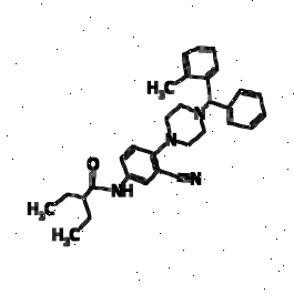 CCC(CC)C(=O)Nc1ccc(N2CCN(C(c3ccccc3)c3ccccc3C)CC2)c(C#N)c1